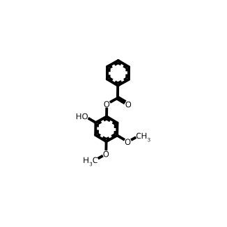 COc1cc(O)c(OC(=O)c2ccccc2)cc1OC